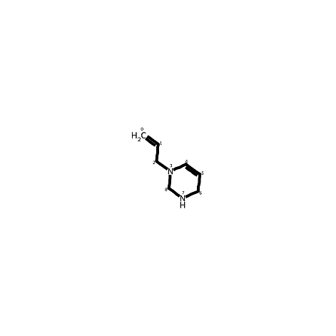 C=CCN1C=CCNC1